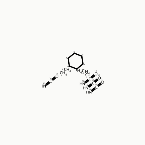 C.C.C.C.C1CCCCC1.N=C=O.N=C=O.N=C=O.N=C=O